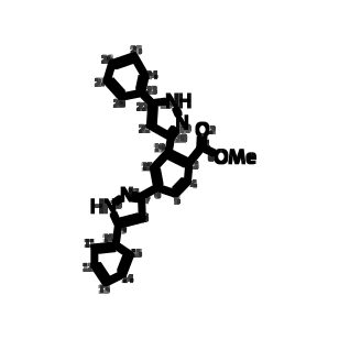 COC(=O)c1ccc(-c2cc(-c3ccccc3)[nH]n2)cc1-c1cc(-c2ccccc2)[nH]n1